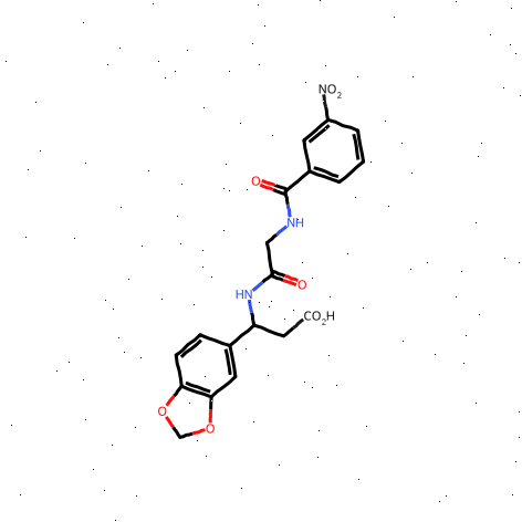 O=C(O)CC(NC(=O)CNC(=O)c1cccc([N+](=O)[O-])c1)c1ccc2c(c1)OCO2